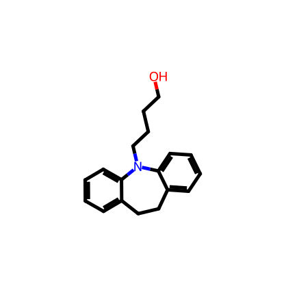 OCCCCN1c2ccccc2CCc2ccccc21